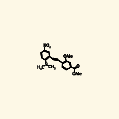 COC(=O)c1ccc(C#Cc2cc([N+](=O)[O-])ccc2N(C)C)c(OC)c1